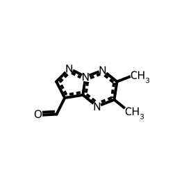 Cc1nc2c(C=O)cnn2nc1C